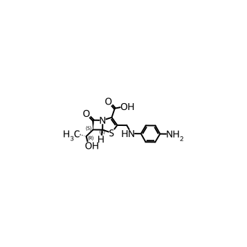 C[C@@H](O)[C@H]1C(=O)N2C(C(=O)O)=C(CNc3ccc(N)cc3)S[C@H]12